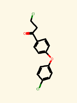 O=C(CCCl)c1ccc(Oc2ccc(Cl)cc2)cc1